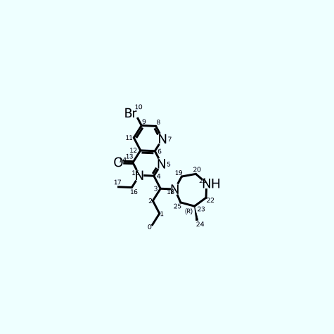 CCCC(c1nc2ncc(Br)cc2c(=O)n1CC)N1CCNC[C@@H](C)C1